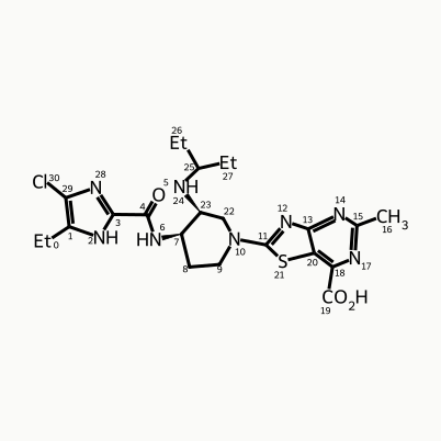 CCc1[nH]c(C(=O)N[C@@H]2CCN(c3nc4nc(C)nc(C(=O)O)c4s3)C[C@@H]2NC(CC)CC)nc1Cl